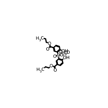 CCCOC(=O)c1ccc(O)c(S(=O)(=O)c2cc(C(=O)OCCC)ccc2O)c1.O.O